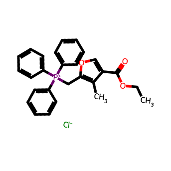 CCOC(=O)c1coc(C[P+](c2ccccc2)(c2ccccc2)c2ccccc2)c1C.[Cl-]